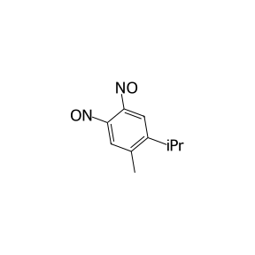 Cc1cc(N=O)c(N=O)cc1C(C)C